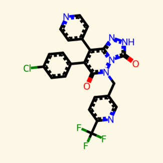 O=c1c(-c2ccc(Cl)cc2)c(-c2ccncc2)c2n[nH]c(=O)n2n1Cc1ccc(C(F)(F)F)nc1